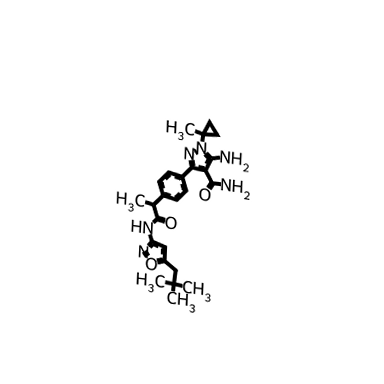 CC(C(=O)Nc1cc(CC(C)(C)C)on1)c1ccc(-c2nn(C3(C)CC3)c(N)c2C(N)=O)cc1